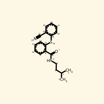 CC(C)CCNC(=O)c1ccccc1Sc1ccccc1C#N